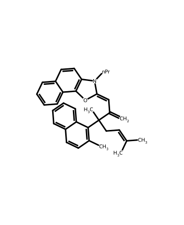 C=C(/C=C1\Oc2c(ccc3ccccc23)N1CCC)C(C)(CC=C(C)C)c1c(C)ccc2ccccc12